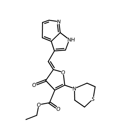 CCOC(=O)C1=C(N2CCSCC2)O/C(=C\c2c[nH]c3ncccc23)C1=O